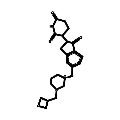 O=C1CCC(N2Cc3cc(O[C@@H]4CCCN(CC5COC5)C4)ccc3C2=O)C(=O)N1